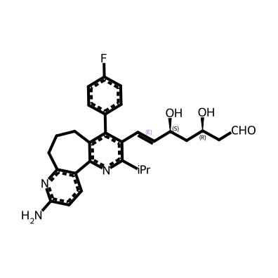 CC(C)c1nc2c(c(-c3ccc(F)cc3)c1/C=C/[C@@H](O)C[C@@H](O)CC=O)CCCc1nc(N)ccc1-2